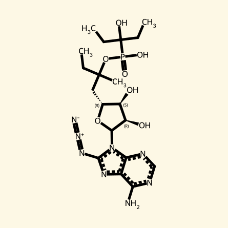 CCC(C)(C[C@H]1OC(n2c(N=[N+]=[N-])nc3c(N)ncnc32)[C@H](O)[C@@H]1O)OP(=O)(O)C(O)(CC)CC